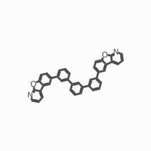 c1cc(-c2cccc(-c3ccc4oc5ncccc5c4c3)c2)cc(-c2cccc(-c3ccc4oc5ncccc5c4c3)c2)c1